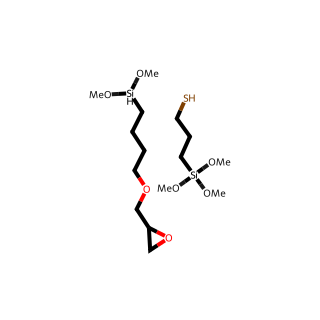 CO[SiH](CCCCOCC1CO1)OC.CO[Si](CCCS)(OC)OC